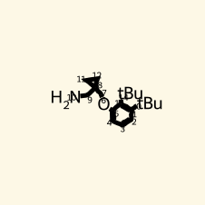 CC(C)(C)c1cccc(OCC2(CN)CC2)c1C(C)(C)C